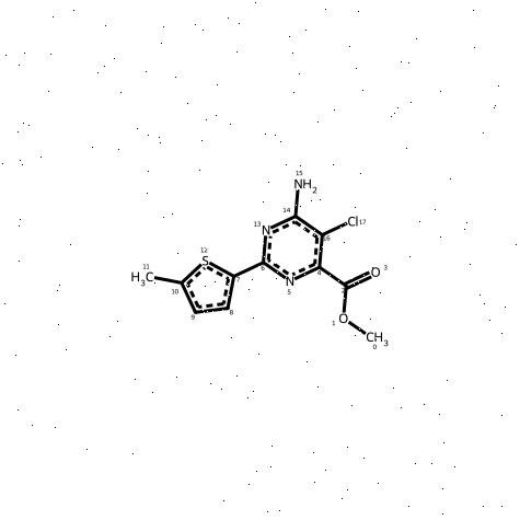 COC(=O)c1nc(-c2ccc(C)s2)nc(N)c1Cl